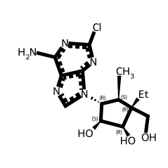 CC[C@]1(CO)[C@H](C)[C@@H](n2cnc3c(N)nc(Cl)nc32)[C@H](O)[C@@H]1O